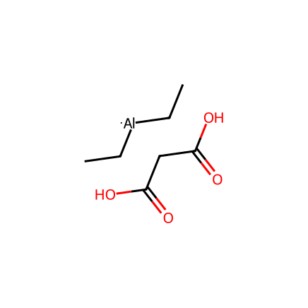 C[CH2][Al][CH2]C.O=C(O)CC(=O)O